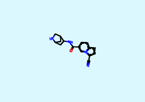 N#Cc1ccc2ccc(C(=O)NC3CC4CC3CN4)cn12